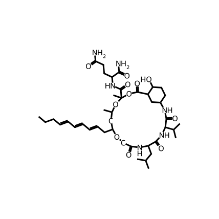 CCC/C=C/C=C/C=C/CC1CC(C)OC(C)(C(=O)NC(CCC(N)=O)C(N)=O)OC(=O)C2CC(CCC2O)NC(=O)C(C(C)C)NC(=O)C(CC(C)C)NC(=O)CO1